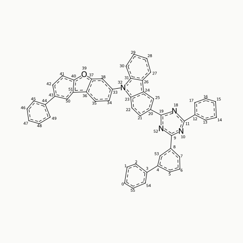 c1ccc(-c2cccc(-c3nc(-c4ccccc4)nc(-c4ccc5c(c4)c4ccccc4n5-c4ccc5c(c4)oc4ccc(-c6ccccc6)cc45)n3)c2)cc1